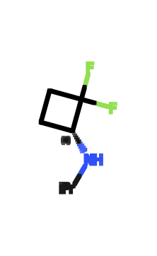 CC(C)N[C@@H]1CCC1(F)F